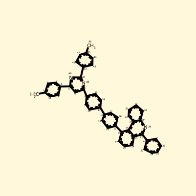 Cc1ccc(-c2cc(-c3ccc(-c4ccc(-c5cccc6c(-c7ccccc7)nc7ccccc7c56)cc4)cc3)nc(-c3ccc(C)cc3)n2)cc1